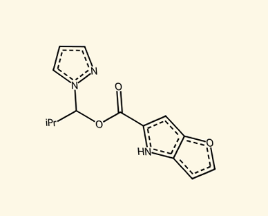 CC(C)C(OC(=O)c1cc2occc2[nH]1)n1cccn1